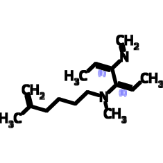 C=NC(=C/C)/C(=C\C)N(C)CCCCC(=C)C